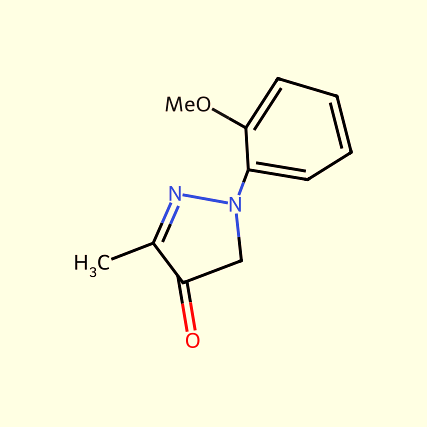 COc1ccccc1N1CC(=O)C(C)=N1